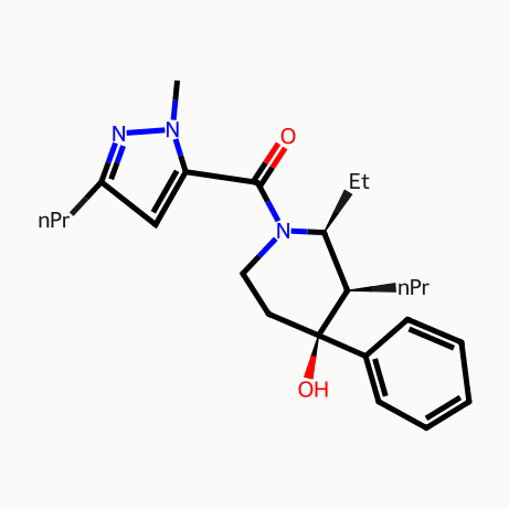 CCCc1cc(C(=O)N2CC[C@@](O)(c3ccccc3)[C@H](CCC)[C@@H]2CC)n(C)n1